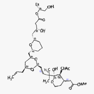 C=CC[C@H]1C[C@@H](C[C@H]2CCC[C@@H](C[C@@H](O)CC(=O)O[C@H](CC)CO)O2)O[C@@H](/C=C/C(C)(C)[C@]2(O)OCC/C(=C\C(=O)OC)[C@@H]2OC(C)=O)O1